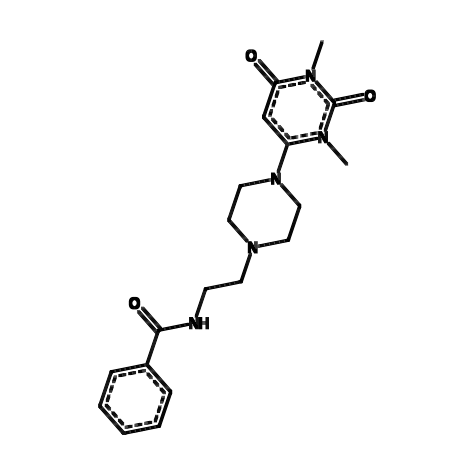 Cn1c(N2CCN(CCNC(=O)c3ccccc3)CC2)cc(=O)n(C)c1=O